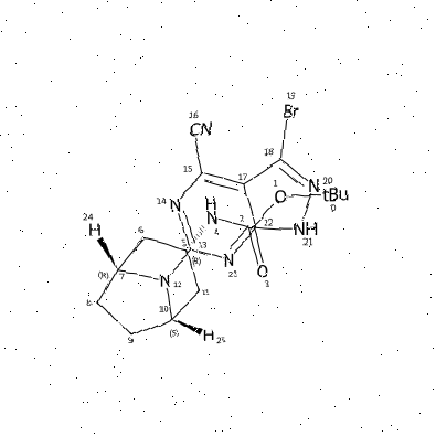 CC(C)(C)OC(=O)N[C@H]1C[C@H]2CC[C@@H](C1)N2c1nc(C#N)c2c(Br)n[nH]c2n1